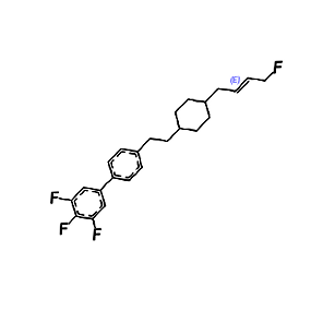 FC/C=C/CC1CCC(CCc2ccc(-c3cc(F)c(F)c(F)c3)cc2)CC1